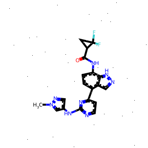 Cn1cc(Nc2nccc(-c3ccc(NC(=O)C4CC4(F)F)c4[nH]ncc34)n2)cn1